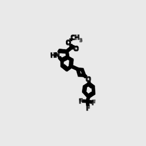 COC(=O)c1c[nH]c2ccc(C3CC(Oc4ccc(C(F)(F)F)cc4)C3)cc12